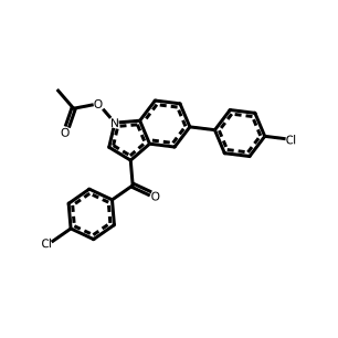 CC(=O)On1cc(C(=O)c2ccc(Cl)cc2)c2cc(-c3ccc(Cl)cc3)ccc21